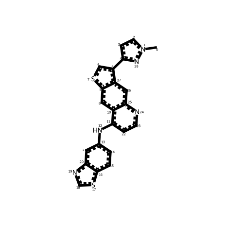 Cn1ccc(-c2csc3cc4c(Nc5ccc6scnc6c5)ccnc4cc23)n1